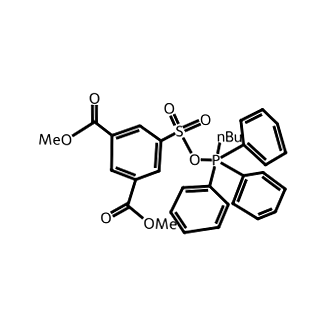 CCCCP(OS(=O)(=O)c1cc(C(=O)OC)cc(C(=O)OC)c1)(c1ccccc1)(c1ccccc1)c1ccccc1